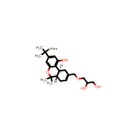 CCCCCCC(C)(C)c1cc(O)c2c(c1)OC(C)(C)[C@H]1CC=C(COCC(O)CO)C[C@H]21